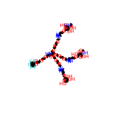 CC(=O)N[C@@H]1[C@@H](O)[C@@H](O)[C@@H](COCCc2cn(CCOCCOCCOCC(COCCOCCOCCn3cc(CCOC[C@H]4O[C@@H](O)[C@H](NC(C)=O)[C@@H](O)[C@H]4O)nn3)(COCCOCCOCCn3cc(CCOC[C@H]4O[C@@H](O)C[C@@H](O)[C@H]4O)nn3)NC(=O)CCOCCOCCC(=O)Oc3c(F)c(F)c(F)c(F)c3F)nn2)O[C@H]1O